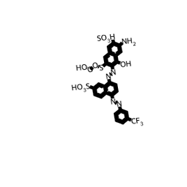 Nc1cc2c(O)c(/N=N/c3ccc(/N=N/c4cccc(C(F)(F)F)c4)c4ccc(S(=O)(=O)O)cc34)c(SOOO)cc2cc1S(=O)(=O)O